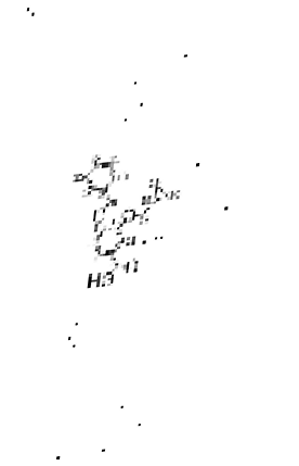 O=C(O)c1ccc(OCc2ccccc2)c(OCC2CC2)c1